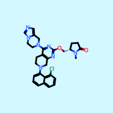 CN1C(=O)CC[C@H]1COc1nc2c(c(N3CCn4cncc4C3)n1)CCN(c1cccc3cccc(Cl)c13)C2